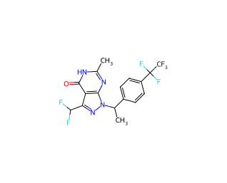 Cc1nc2c(c(C(F)F)nn2C(C)c2ccc(C(F)(F)C(F)(F)F)cc2)c(=O)[nH]1